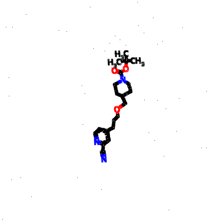 CC(C)(C)OC(=O)N1CCC(COCCCc2ccnc(C#N)c2)CC1